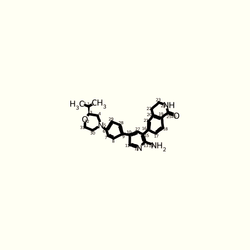 CC(C)[C@H]1CN(c2ccc(-c3cnc(N)c(-c4ccc5c(c4)CCNC5=O)c3)cc2)CCO1